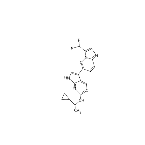 CC(Nc1ncc2c(-c3ccc4ncc(C(F)F)n4n3)c[nH]c2n1)C1CC1